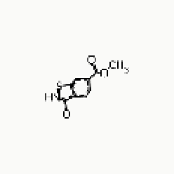 COC(=O)c1ccc2c(=O)[nH]sc2c1